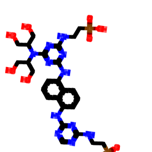 O=S(=O)(O)CCNc1ncnc(Nc2cccc3c(Nc4nc(NCCS(=O)(=O)O)nc(N(C(CO)CO)C(CO)CO)n4)cccc23)n1